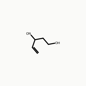 C=CC(CCO)N=O